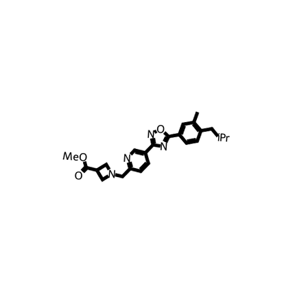 COC(=O)C1CN(Cc2ccc(-c3noc(-c4ccc(CC(C)C)c(C)c4)n3)cn2)C1